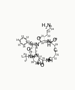 CC(C)(C)NC(=O)[C@@H]1[C@H](CSc2ccccc2)NC(=O)[C@H](CCCCN)NC(=O)CCCCCNC(=O)[C@@H]2CCCN12